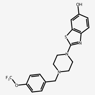 Oc1ccc2nc(N3CCN(Cc4ccc(OC(F)(F)F)cc4)CC3)sc2c1